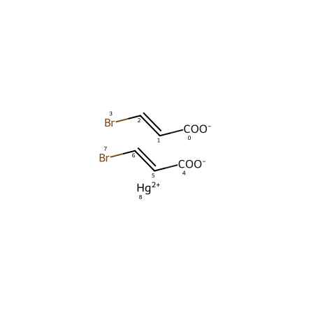 O=C([O-])/C=C/Br.O=C([O-])/C=C/Br.[Hg+2]